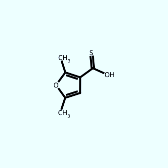 Cc1cc(C(O)=S)c(C)o1